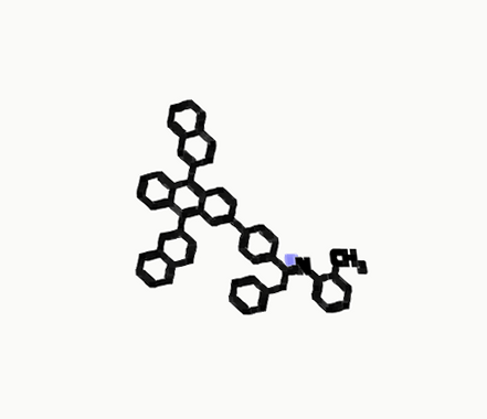 Cc1ccccc1/N=C(\Cc1ccccc1)c1ccc(-c2ccc3c(-c4ccc5ccccc5c4)c4ccccc4c(-c4ccc5ccccc5c4)c3c2)cc1